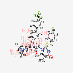 Bc1c(B)c(C(B)(B)N(C(=O)Cn2c(SCc3ccc(F)cc3)nc(=O)c3c2CCC3)C(B)(B)C(B)(B)N(C(B)(B)C)C(B)(B)C)c(B)c(B)c1-c1ccc(C(F)(F)F)cc1